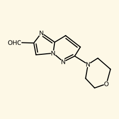 O=Cc1cn2nc(N3CCOCC3)ccc2n1